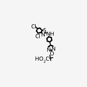 CC(C)(COc1ncc(-c2ccc(Nc3nc4c(Cl)cc(Cl)cc4s3)cc2)cn1)C(=O)O